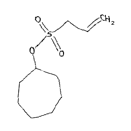 C=CCS(=O)(=O)OC1CCCCCC1